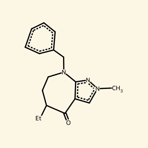 CCC1CCN(Cc2ccccc2)c2nn(C)cc2C1=O